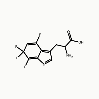 NC(CC1=C2C(F)=CC(F)(F)C(F)=C2N=C1)C(=O)O